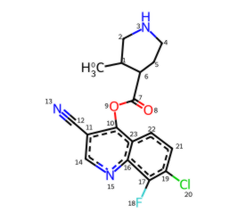 CC1CNCCC1C(=O)Oc1c(C#N)cnc2c(F)c(Cl)ccc12